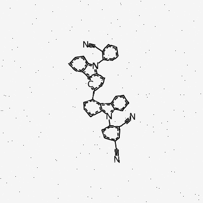 N#Cc1ccc(-n2c3ccccc3c3c(-c4ccc5c(c4)c4ccccc4n5-c4ccccc4C#N)cccc32)c(C#N)c1